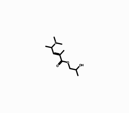 CC(=CC(C)N(C)C)C(=O)OCC(C)O